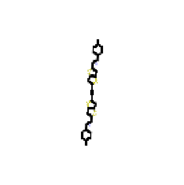 Cc1ccc(/C=C/c2cc3sc(C#Cc4cc5sc(/C=C/c6ccc(C)cc6)cc5s4)cc3s2)cc1